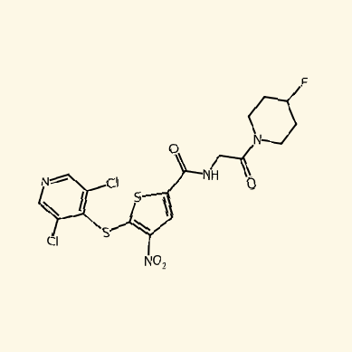 O=C(NCC(=O)N1CCC(F)CC1)c1cc([N+](=O)[O-])c(Sc2c(Cl)cncc2Cl)s1